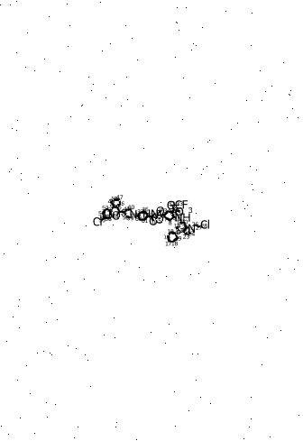 O=C(NS(=O)(=O)c1ccc(N[C@@H](CSc2ccccc2)Cc2cccn2CCCl)c(S(=O)(=O)C(F)(F)F)c1)c1ccc(N2CCC([C@@H](O)c3ccccc3-c3ccc(Cl)cc3)CC2)cc1